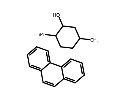 CC1CCC(C(C)C)C(O)C1.c1ccc2c(c1)ccc1ccccc12